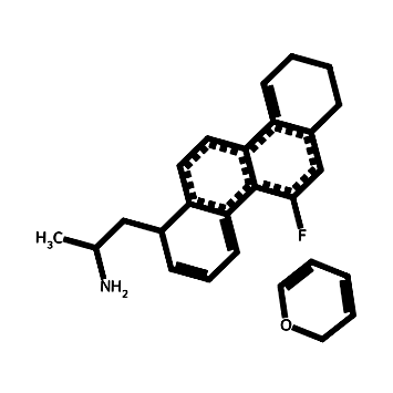 C1=CCOC=C1.CC(N)CC1C=CC=c2c1ccc1c3c(cc(F)c21)CCCC=3